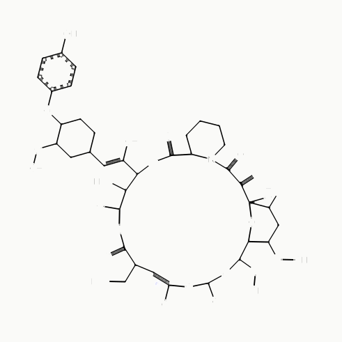 CCC1/C=C(\C)CC(C)CC(OC)C2OC(O)(C(=O)C(=O)N3CCCCC3C(=O)OC(C(C)=CC3CCC(Oc4ccc(O)cc4)C(OC)C3)C(C)C(O)CC1=O)C(C)CC2OC